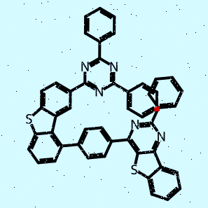 c1ccc(-c2nc(-c3ccccc3)nc(-c3ccc4sc5cccc(-c6ccc(-c7nc(-c8ccccc8)nc8c7sc7ccccc78)cc6)c5c4c3)n2)cc1